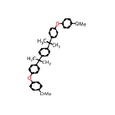 COc1ccc(Oc2ccc(C(C)(C)c3ccc(C(C)(C)c4ccc(Oc5ccc(OC)cc5)cc4)cc3)cc2)cc1